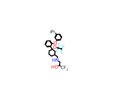 CC(C)c1cccc(Oc2ccccc2C2(OC(F)(F)C(F)F)CCCC(CNCC(O)C(F)(F)F)C2)c1